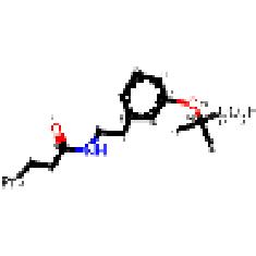 CC(C)CCC(=O)NCCc1cccc(OC(C)(C)C(=O)O)c1